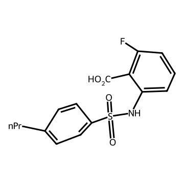 CCCc1ccc(S(=O)(=O)Nc2cccc(F)c2C(=O)O)cc1